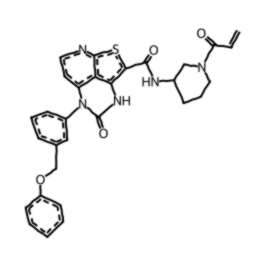 C=CC(=O)N1CCCC(NC(=O)c2sc3nccc4c3c2NC(=O)N4c2cccc(COc3ccccc3)c2)C1